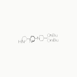 CCCCOC(OCCCC)C1CCN(c2ccc(C3CCCNC3)nc2)CC1